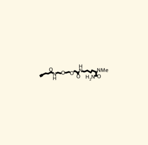 C#CCCC(=O)NCCOCCOCC(=O)NCCCC[C@H](NC)C(N)=O